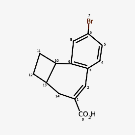 O=C(O)C1=Cc2ccc(Br)cc2C2CCC2C1